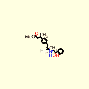 COC(=O)CC(C)c1ccc(CCC(C)(C)NCC(O)c2ccccc2)cc1